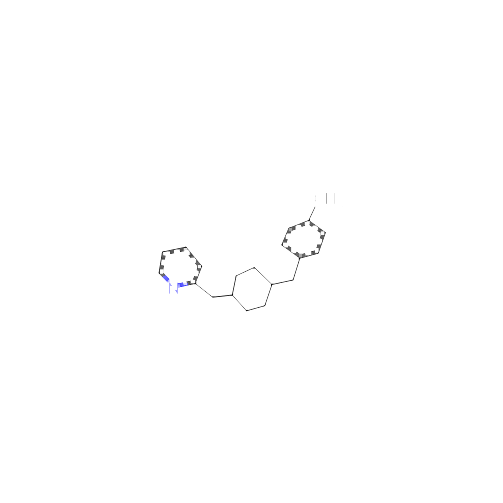 Cc1ccc(CC2CCC(Cc3ccccn3)CC2)cc1